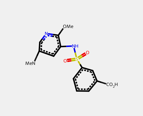 CNc1cnc(OC)c(NS(=O)(=O)c2cccc(C(=O)O)c2)c1